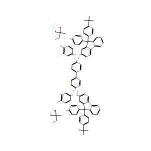 CCC1(COc2ccc(C3(c4ccc(C(C)(C)C)cc4)c4ccccc4-c4ccc(N(c5ccc(-c6ccc(N(c7ccc(C)c(F)c7)c7ccc8c(c7)C(c7ccc(OCC9(CC)COC9)cc7)(c7ccc(C(C)(C)C)cc7)c7ccccc7-8)cc6)cc5)c5ccc(C)c(F)c5)cc43)cc2)COC1